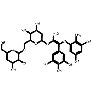 Cc1c(O)cc(O)cc1O/C(=C(\C=O)OC1CC(O)C(O)C(COC2OC(CO)CC(O)C2O)O1)c1cc(O)c(O)c(O)c1